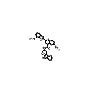 COc1cccc2cc(-c3cc(C(=O)NC(CO)Cc4c[nH]c5cccnc45)c4cc(OC(F)(F)F)ccc4n3)oc12